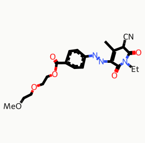 CCN1C(=O)C(N=Nc2ccc(C(=O)OCCOCCOC)cc2)=C(C)C(C#N)C1=O